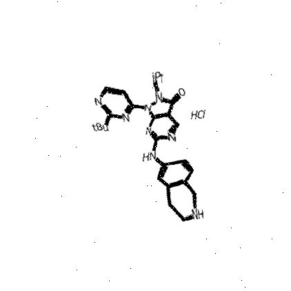 CC(C)n1c(=O)c2cnc(Nc3ccc4c(c3)CCNC4)nc2n1-c1ccnc(C(C)(C)C)n1.Cl